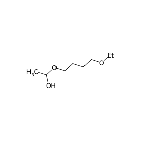 CCOCCCCOC(C)O